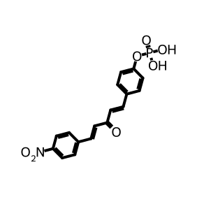 O=C(/C=C/c1ccc(OP(=O)(O)O)cc1)/C=C/c1ccc([N+](=O)[O-])cc1